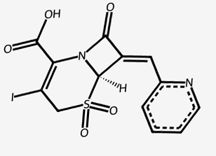 O=C(O)C1=C(I)CS(=O)(=O)[C@@H]2/C(=C\c3ccccn3)C(=O)N12